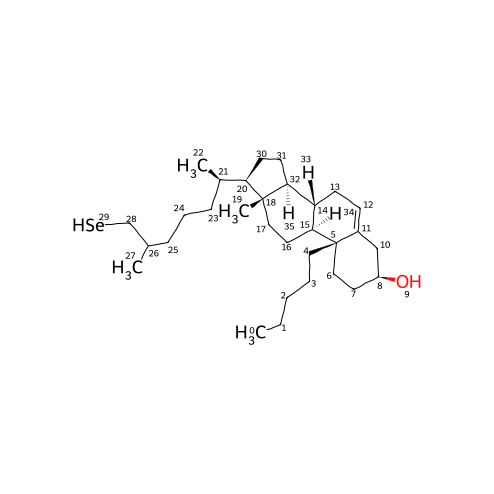 CCCCC[C@]12CC[C@H](O)CC1=CC[C@@H]1[C@@H]2CC[C@]2(C)[C@@H]([C@H](C)CCCC(C)C[SeH])CC[C@@H]12